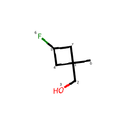 CC1(CO)CC(F)C1